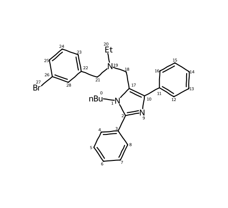 CCCCn1c(-c2ccccc2)nc(-c2ccccc2)c1CN(CC)Cc1cccc(Br)c1